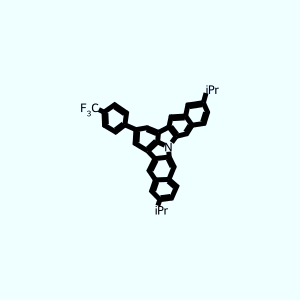 CC(C)c1ccc2cc3c(cc2c1)c1cc(-c2ccc(C(F)(F)F)cc2)cc2c4cc5cc(C(C)C)ccc5cc4n3c12